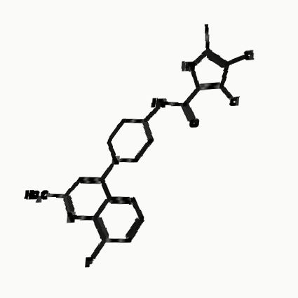 Cc1[nH]c(C(=O)NC2CCN(c3cc(C(=O)O)nc4c(F)cccc34)CC2)c(Cl)c1Cl